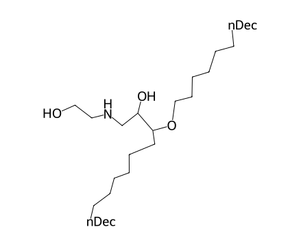 CCCCCCCCCCCCCCCCOC(CCCCCCCCCCCCCCCC)C(O)CNCCO